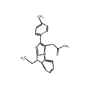 CCn1c2ccccc2n2c(CC(=O)O)c(-c3ccc(C)cc3)nc12